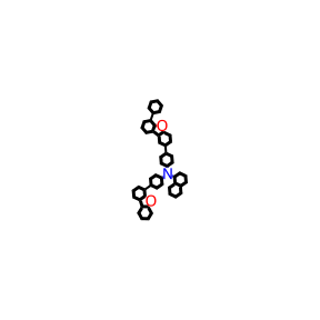 c1ccc(-c2cccc3c2oc2ccc(-c4ccc(N(c5ccc(-c6cccc7c6oc6ccccc67)cc5)c5cccc6ccccc56)cc4)cc23)cc1